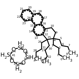 CCCCC1(CCCC)CCc2c(ccc3c2ccc2ccccc23)C1(CCCC)CCCC.O1[SiH2]O[SiH2]O[SiH2]O[SiH2]1